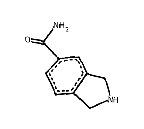 NC(=O)c1ccc2c(c1)CNC2